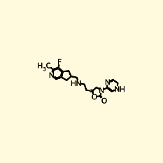 Cc1ncc2c(c1F)CC(CNCC[C@H]1CN(C3=CNCC=N3)C(=O)O1)C2